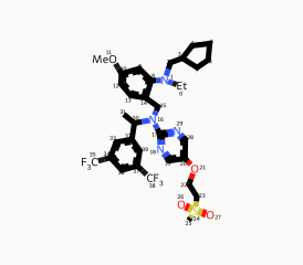 CCN(CC1CCCC1)c1cc(OC)ccc1CN(c1ncc(OCCS(C)(=O)=O)cn1)C(C)c1cc(C(F)(F)F)cc(C(F)(F)F)c1